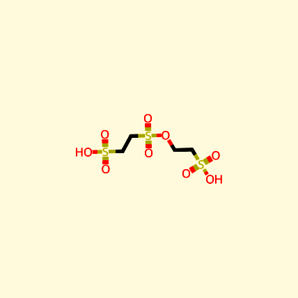 O=S(=O)(O)CCOS(=O)(=O)CCS(=O)(=O)O